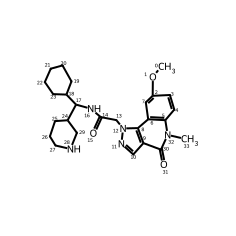 COc1ccc2c(c1)c1c(cnn1CC(=O)NC(C1CCCCC1)C1CCCNC1)c(=O)n2C